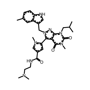 Cc1ccc2[nH]cc(Cn3nc4c(c3-c3cc(C(=O)NCCN(C)C)cn3C)c(=O)n(C)c(=O)n4CC(C)C)c2c1